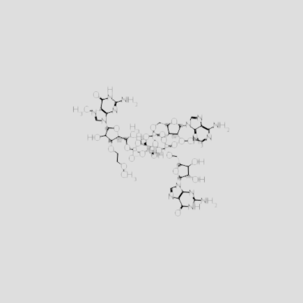 COCCO[C@@H]1C(O)[C@H](n2c[n+](C)c3c(=O)[nH]c(N)nc32)O[C@@H]1[C@@H](C)OP(=O)([O-])OP(=O)(O)OP(=O)(O)OC[C@H]1O[C@@H](n2cnc3c(N)ncnc32)[C@@H](OC)C1OP(=O)(O)OC[C@H]1O[C@@H](n2cnc3c(=O)[nH]c(N)nc32)[C@@H](O)C1O